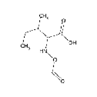 CCC(C)C(NOC=O)C(=O)O